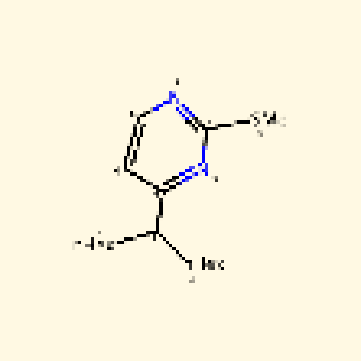 CCCCCCC(CCCCCC)c1ccnc(SC)n1